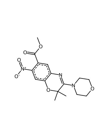 COC(=O)c1cc2c(cc1[N+](=O)[O-])OC(C)(C)C(N1CCOCC1)=N2